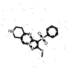 CSc1nn2cc3c(nc2c1S(=O)(=O)c1ccccc1)CCNC3